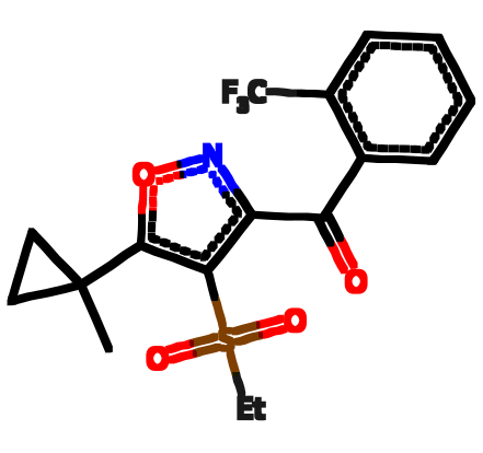 CCS(=O)(=O)c1c(C(=O)c2ccccc2C(F)(F)F)noc1C1(C)CC1